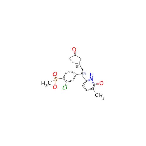 Cc1ccc(/C(=C/[C@H]2CCC(=O)C2)c2ccc(S(C)(=O)=O)c(Cl)c2)[nH]c1=O